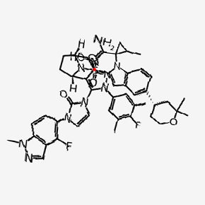 Cc1cc(-n2nc3c(c2-n2ccn(-c4ccc5c(cnn5C)c4F)c2=O)[C@@H]2CC[C@H](C3)N2S(=O)(=O)c2cc3cc([C@H]4CCOC(C)(C)C4)ccc3n2C2(C(N)=NO)CC2C)cc(C)c1F